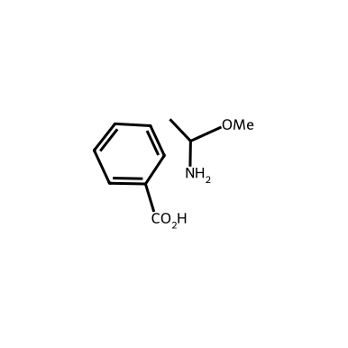 COC(C)N.O=C(O)c1ccccc1